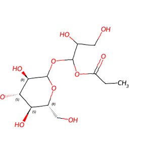 CCC(=O)OC(OC1O[C@H](CO)[C@@H](O)[C@H](O)[C@H]1O)C(O)CO